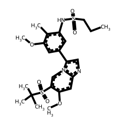 CCCS(=O)(=O)Nc1cc(-c2cnc3cc(OC)c(S(=O)(=O)C(C)(C)C)cn23)cc(OC)c1C